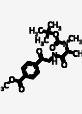 COC(=O)c1ccc(C(=O)CNC(=O)C(C)N(C)C(=O)OC(C)(C)C)cc1